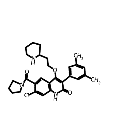 Cc1cc(C)cc(-c2c(OCCC3CCCCN3)c3cc(C(=O)N4CCCC4)c(Cl)cc3[nH]c2=O)c1